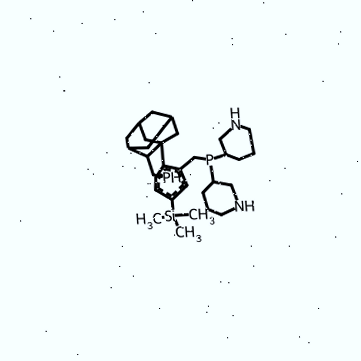 C[Si](C)(C)c1ccc(C23CC4CC(CC(C4)C2CP)C3)c(CP(C2CCCNC2)C2CCCNC2)c1